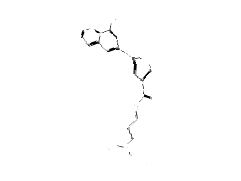 CN(C)CCCNC(=O)c1csc(-c2cc(O)c3ncccc3c2)c1